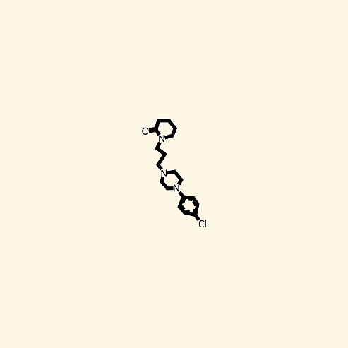 O=C1CCCCN1CCCN1CCN(c2ccc(Cl)cc2)CC1